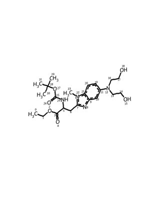 CCOC(=O)C(Cc1nc2cc(N(CCO)CCO)ccc2n1C)NC(=O)OC(C)(C)C